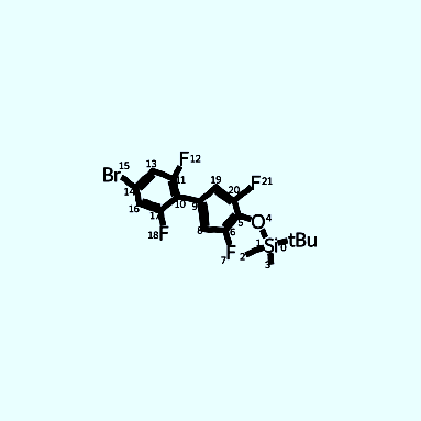 CC(C)(C)[Si](C)(C)Oc1c(F)cc(-c2c(F)cc(Br)cc2F)cc1F